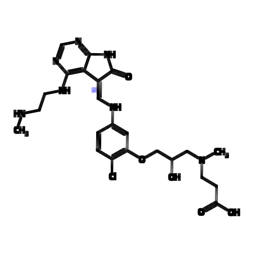 CNCCNc1ncnc2c1/C(=C/Nc1ccc(Cl)c(OCC(O)CN(C)CCC(=O)O)c1)C(=O)N2